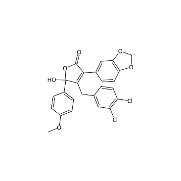 COc1ccc(C2(O)OC(=O)C(c3ccc4c(c3)OCO4)=C2Cc2ccc(Cl)c(Cl)c2)cc1